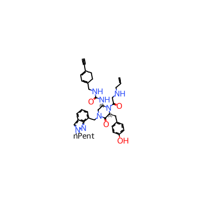 C#CC1=CC=C(CNC(=O)N[C@H]2CN(Cc3cccc4cn(CCCCC)nc34)C(=O)[C@H](Cc3ccc(O)cc3)N2C(=O)CNCC=C)CC1